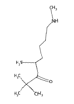 CNCCCCC(N)C(=O)C(C)(C)C